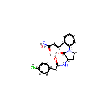 O=C(C=Cc1ccccc1N1CCC(NC(=O)Cc2ccc(Cl)cc2)C1=O)NO